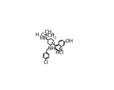 CC(C)(C)NC1CCN(c2ccnc3cc(O)ccc23)C(NCc2ccc(Cl)cc2)C1.Cl